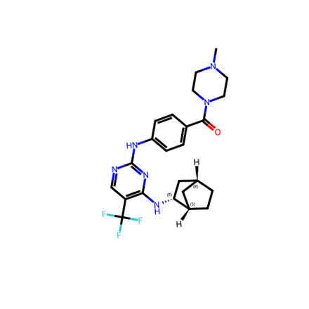 CN1CCN(C(=O)c2ccc(Nc3ncc(C(F)(F)F)c(N[C@@H]4C[C@@H]5CC[C@H]4C5)n3)cc2)CC1